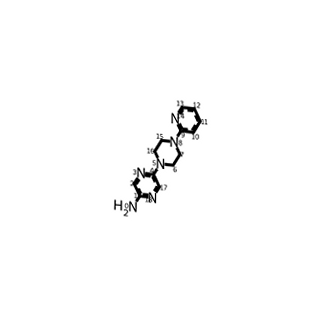 Nc1cnc(N2CCN(c3ccccn3)CC2)cn1